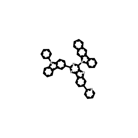 c1ccc(-n2c3ccccc3c3cc(-c4nc(-n5c6ccccc6c6cc7ccccc7cc65)c5oc6cc(-c7ccccn7)ccc6c5n4)ccc32)cc1